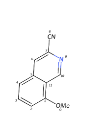 COc1cccc2cc(C#N)ncc12